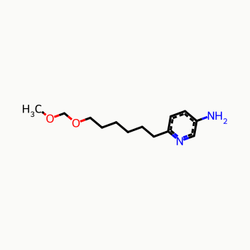 COCOCCCCCCc1ccc(N)cn1